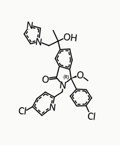 CO[C@]1(c2ccc(Cl)cc2)c2ccc(C(C)(O)Cn3ccnc3)cc2C(=O)N1Cc1ccc(Cl)cn1